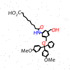 COc1ccc(C(OCc2cc(CO)cc(NC(=O)CCCCCCCCC(=O)O)c2)(c2ccccc2)c2ccc(OC)cc2)cc1